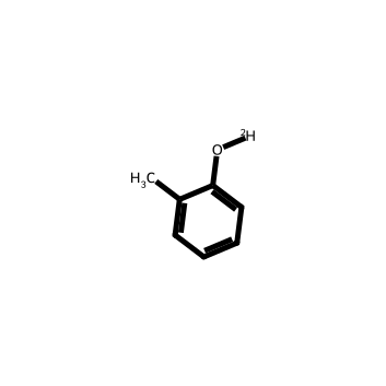 [2H]Oc1ccccc1C